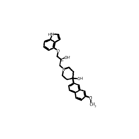 COc1ccc2ccc(C3(O)CCN(C[C@H](O)COc4cccc5[nH]ccc45)CC3)cc2c1